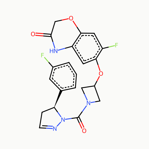 O=C1COc2cc(F)c(OC3CN(C(=O)N4N=CC[C@H]4c4cccc(F)c4)C3)cc2N1